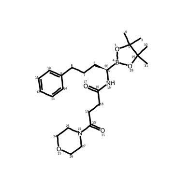 CC1(C)OB([C@H](CCCc2ccccc2)NC(=O)[CH]CC(=O)N2CCOCC2)OC1(C)C